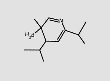 BC1(C)C=NC(C(C)C)=CC1C(C)C